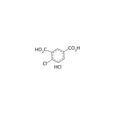 Cl.O=C(O)c1ccc(Cl)c(C(=O)O)c1